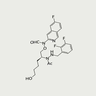 CC(=O)N(NCc1cccc(F)c1F)[C@@H](CCCCO)CON(C=O)c1cc2cc(F)ccc2cn1